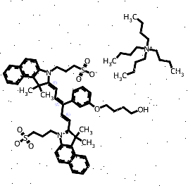 CC1(C)C(/C=C/C(=C/C=C2/N(CCCS(=O)(=O)[O-])c3ccc4ccccc4c3C2(C)C)c2cccc(OCCCCO)c2)=[N+](CCCS(=O)(=O)[O-])c2ccc3ccccc3c21.CCCC[N+](CCCC)(CCCC)CCCC